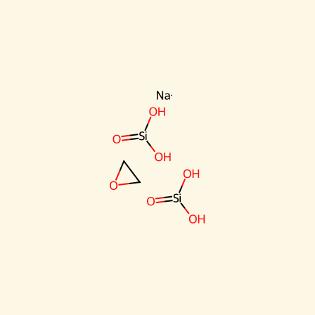 C1CO1.O=[Si](O)O.O=[Si](O)O.[Na]